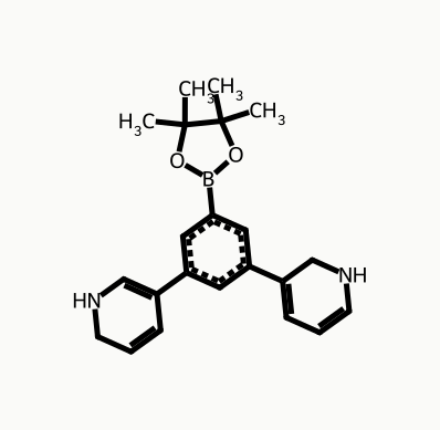 CC1(C)OB(c2cc(C3=CNCC=C3)cc(C3=CC=CNC3)c2)OC1(C)C